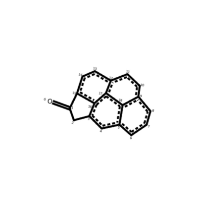 O=C1Cc2cc3cccc4ccc5ccc1c2c5c43